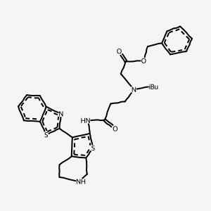 CCC(C)N(CCC(=O)Nc1sc2c(c1-c1nc3ccccc3s1)CCNC2)CC(=O)OCc1ccccc1